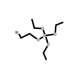 CCO[Si](OCC)(OCC)OCCBr